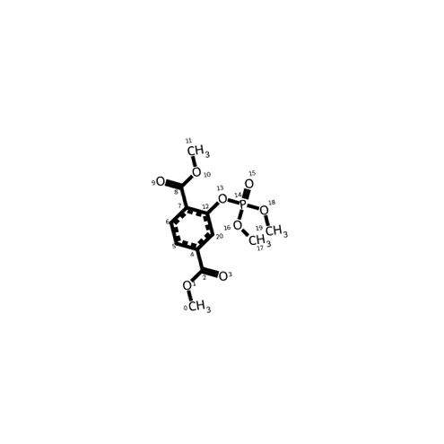 COC(=O)c1ccc(C(=O)OC)c(OP(=O)(OC)OC)c1